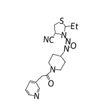 CCC1SCC(C#N)N1n1on1C1CCN(C(=O)Cc2cccnc2)CC1